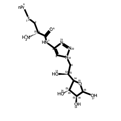 [CH2][CH]CSC[C@@H](N)C(=O)Nc1cn(C[C@H](O)C2OC(O)[C@@H](O)[C@@H]2O)nn1